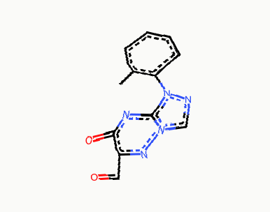 Cc1ccccc1-n1ncn2nc(C=O)c(=O)nc12